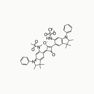 CC1N(c2ccccc2)c2cc(NS(=O)(=O)C(F)(F)F)c(C3=C([O-])/C(=c4/cc5c(cc4N(C)S(C)(=O)=O)=[N+](c4ccccc4)C(C)C5(C)C)C3=O)cc2C1(C)C